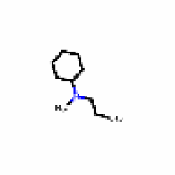 [CH2]CCN(C)C1CCCCC1